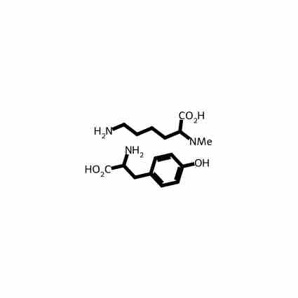 CNC(CCCCN)C(=O)O.NC(Cc1ccc(O)cc1)C(=O)O